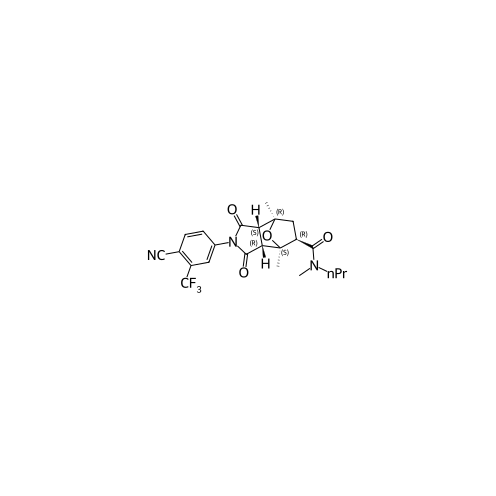 CCCN(C)C(=O)[C@@H]1C[C@@]2(C)O[C@]1(C)[C@@H]1C(=O)N(c3ccc(C#N)c(C(F)(F)F)c3)C(=O)[C@@H]12